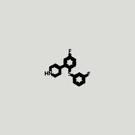 Fc1cccc(Sc2ccc(F)cc2C2=CCNCC2)c1